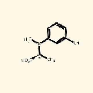 C[C@@H](C(=O)O)N(C)c1cccc(C#N)c1